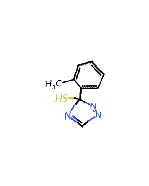 Cc1ccccc1C1(S)N=CN=N1